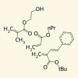 C=C(C)C(=O)OCCO.C=C(C=Cc1ccccc1)C(=O)OC(C)(C)C.C=CC(=O)OCCC